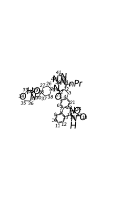 CCCc1c(Cc2ccc(-c3ccccc3-c3noc(=O)[nH]3)cc2)c(=O)n([C@H]2CC[C@](O)(CN3CCOCC3)CC2)c2ncnn12